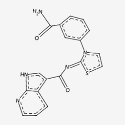 NC(=O)c1cccc(-n2ccs/c2=N\C(=O)c2c[nH]c3ncccc23)c1